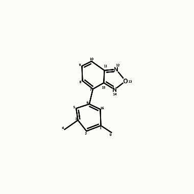 Cc1cc(C)cc(-c2cccc3nonc23)c1